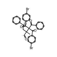 CC([C]=O)(CC(=O)c1ccccc1)C(C(=O)c1ccccc1)(C(=O)c1ccc(Br)cc1)C(=O)c1ccc(Br)cc1